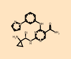 CC[C@@H](Nc1ncc(C(N)=O)c(Nc2cccc(-n3cccn3)c2)n1)C1(N)CC1